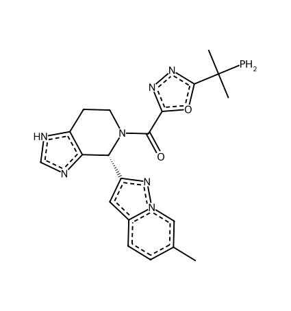 Cc1ccc2cc([C@@H]3c4nc[nH]c4CCN3C(=O)c3nnc(C(C)(C)P)o3)nn2c1